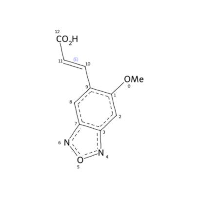 COc1cc2nonc2cc1/C=C/C(=O)O